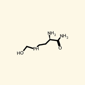 NC(=O)[C@H](N)CCPCO